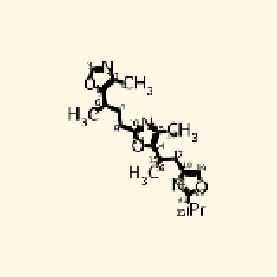 Cc1ncoc1C(C)CCc1nc(C)c(C(C)Cc2coc(C(C)C)n2)o1